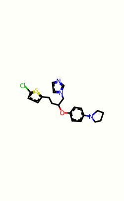 Clc1ccc(CCC(Cn2ccnc2)Oc2ccc(N3CCCC3)cc2)s1